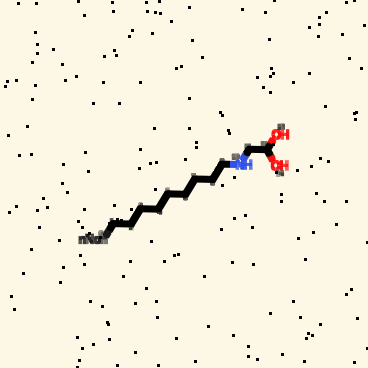 CCCCCCCCCCCCCCCCCCNCC(O)O